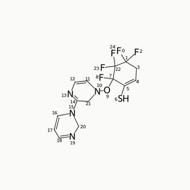 FC1(F)CC=C(S)C(F)(ON2C=CN=C(N3C=CC=NC3)C2)C1(F)F